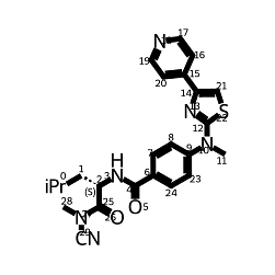 CC(C)C[C@H](NC(=O)c1ccc(N(C)c2nc(-c3ccncc3)cs2)cc1)C(=O)N(C)C#N